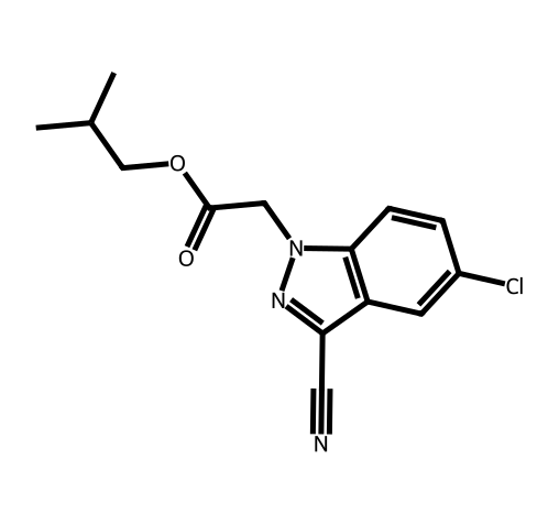 CC(C)COC(=O)Cn1nc(C#N)c2cc(Cl)ccc21